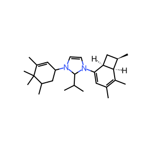 CC1=CC(N2C=CN(C3=CC(C)=C(C)[C@@H]4[C@H](C)C[C@H]34)C2C(C)C)CC(C)C1(C)C